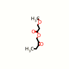 CCC1OC1COC(=O)CCOC